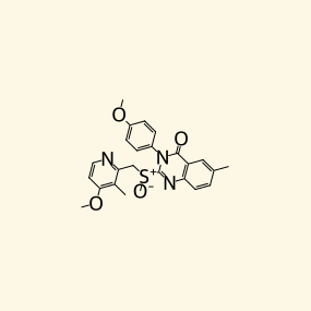 COc1ccc(-n2c([S+]([O-])Cc3nccc(OC)c3C)nc3ccc(C)cc3c2=O)cc1